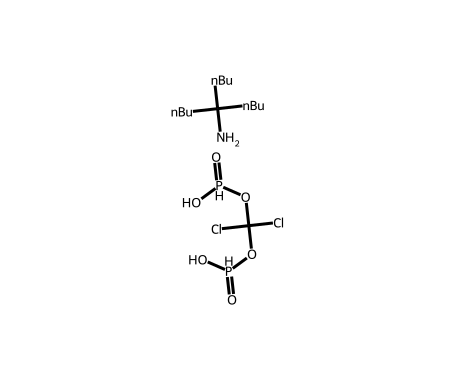 CCCCC(N)(CCCC)CCCC.O=[PH](O)OC(Cl)(Cl)O[PH](=O)O